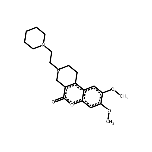 COc1cc2oc(=O)c3c(c2cc1OC)CCN(CCN1CCCCC1)C3